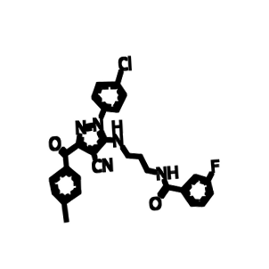 Cc1ccc(C(=O)c2nn(-c3ccc(Cl)cc3)c(NCCCNC(=O)c3cccc(F)c3)c2C#N)cc1